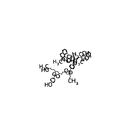 CCCC1CC(CCC2CC(CCCC(C)O)OC(c3ccc(O)cc3)O2)OC(c2ccc(OC3=C(/C=C/C4=[N+](C)c5ccc6ccccc6c5C4(C)C)CCC/C3=C\C=C3\N(C)c4ccc5ccccc5c4C3(C)C)cc2)O1